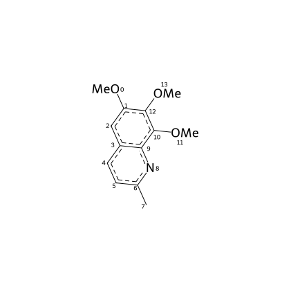 COc1cc2ccc(C)nc2c(OC)c1OC